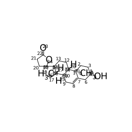 C[C@]12CC[C@H](O)CC1=CC[C@@H]1[C@@H]2CC[C@@]2(C)[C@H]1CC[C@@]21CCC(=O)O1